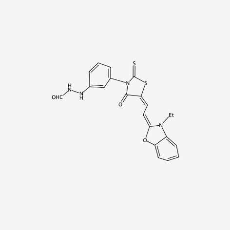 CCN1/C(=C\C=C2\SC(=S)N(c3cccc(NNC=O)c3)C2=O)Oc2ccccc21